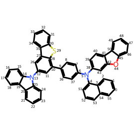 c1ccc2c(N(c3ccc(-c4cc(-n5c6ccccc6c6ccccc65)cc5c4sc4ccccc45)cc3)c3ccc4c(c3)oc3ccccc34)cccc2c1